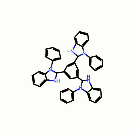 c1ccc(N2c3ccccc3NC2c2cc(C3Nc4ccccc4N3c3ccccc3)cc(C3Nc4ccccc4N3c3ccccc3)c2)cc1